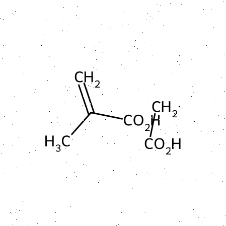 C=C(C)C(=O)O.[CH2]C(=O)O